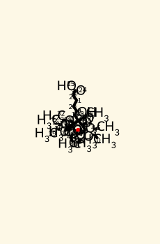 CCOC(OCC)(OCC)C(OCC)(OCC)C(CCCCCC(=O)O)(C(=O)O)C(OCC)(OCC)C(OCC)(OCC)OCC